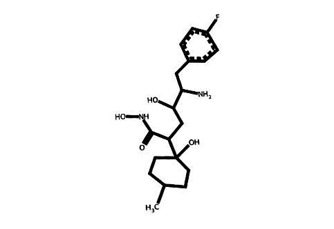 CC1CCC(O)(C(CC(O)C(N)Cc2ccc(F)cc2)C(=O)NO)CC1